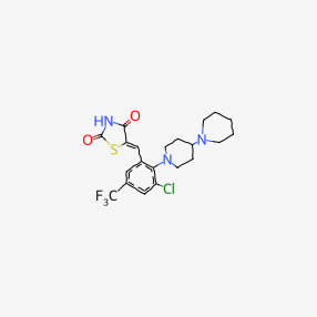 O=C1NC(=O)/C(=C/c2cc(C(F)(F)F)cc(Cl)c2N2CCC(N3CCCCC3)CC2)S1